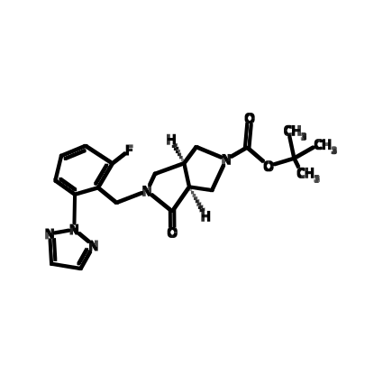 CC(C)(C)OC(=O)N1C[C@@H]2CN(Cc3c(F)cccc3-n3nccn3)C(=O)[C@@H]2C1